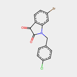 O=C1C(=O)N(Cc2ccc(Cl)cc2)c2cc(Br)ccc21